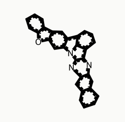 c1ccc2cc3nc4c(nc3cc2c1)c1cccc2c3cc5c(cc3n4c21)oc1ccccc15